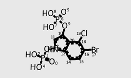 O=P(O)(O)O.O=P(O)(O)Oc1c[nH]c2ccc(Br)c(Cl)c12